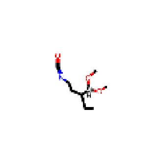 CCC(CCN=C=O)[SiH](OC)OC